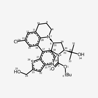 CC(C)(C)OC(=O)N1C[C@@H](N2CCCc3cc(Cl)cc(-c4ccnc5cc(CO)sc45)c32)C[C@H]1C(C)(C)O